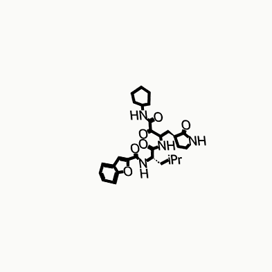 CC(C)C[C@H](NC(=O)c1cc2ccccc2o1)C(=O)NC(C[C@@H]1CCNC1=O)C(=O)C(=O)NC1CCCCC1